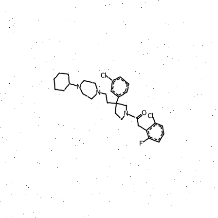 O=C(Cc1c(F)cccc1Cl)N1CCC(CCN2CCN(C3CCCCC3)CC2)(c2cccc(Cl)c2)C1